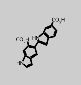 O=C(O)c1ccc2cc(-c3cc4cc[nH]c4cc3C(=O)O)[nH]c2c1